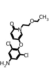 CCOCCn1cc(Oc2c(Cl)cc(N)cc2Cl)ccc1=O